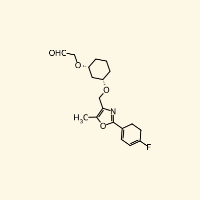 Cc1oc(C2=CC=C(F)CC2)nc1CO[C@H]1CCC[C@@H](OCC=O)C1